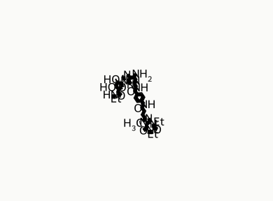 CCNC(=O)C1O[C@@H](n2cnc3c(N)nc(NC(=O)c4ccc(NC(=O)CCc5nc6c(c(=O)n(CC)c(=O)n6CC)n5C)cc4)nc32)[C@H](O)C1O